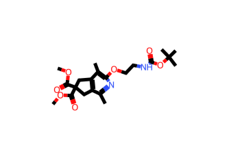 COC(=O)C1(C(=O)OC)Cc2c(C)nc(OCCNC(=O)OC(C)(C)C)c(C)c2C1